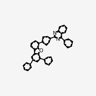 c1ccc(-c2cc(-c3ccccc3)c3oc4c(-c5ccc(-c6nc(-c7ccccc7)c7ccccc7n6)cc5)cccc4c3c2)cc1